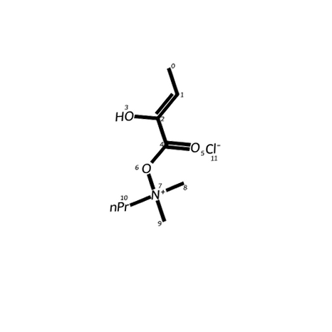 CC=C(O)C(=O)O[N+](C)(C)CCC.[Cl-]